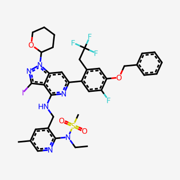 CCN(c1ncc(C)cc1CNc1nc(-c2cc(F)c(OCc3ccccc3)cc2CC(F)(F)F)cc2c1c(I)nn2C1CCCCO1)S(C)(=O)=O